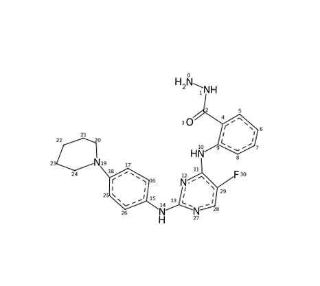 NNC(=O)c1ccccc1Nc1nc(Nc2ccc(N3CCCCC3)cc2)ncc1F